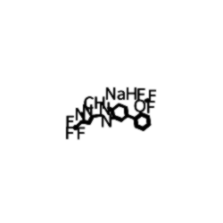 Cn1nc(C(F)(F)F)cc1C1=NC2=CC(c3ccccc3OC(F)(F)F)=CCC2=N1.[NaH]